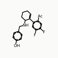 CC(=O)c1cc(F)c(F)cc1C1=CCCCC1NCc1ccc(O)cc1